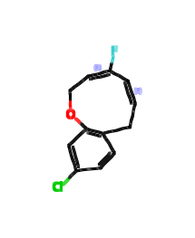 FC1=C/COc2cc(Cl)ccc2C/C=C\1